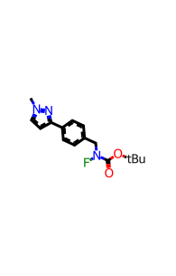 Cn1ccc(-c2ccc(CN(F)C(=O)OC(C)(C)C)cc2)n1